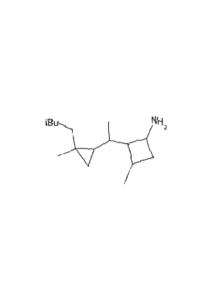 CCC(C)CC1(C)CC1C(C)C1C(C)CC1N